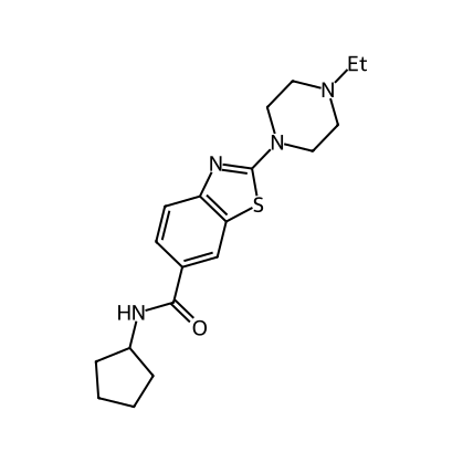 CCN1CCN(c2nc3ccc(C(=O)NC4CCCC4)cc3s2)CC1